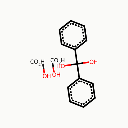 O=C(O)O.O=C(O)O.OC(O)(c1ccccc1)c1ccccc1